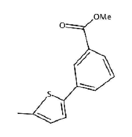 COC(=O)c1cccc(-c2ccc(C)s2)c1